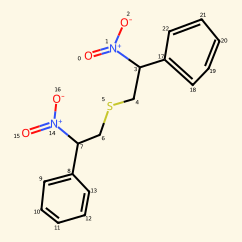 O=[N+]([O-])C(CSCC(c1ccccc1)[N+](=O)[O-])c1ccccc1